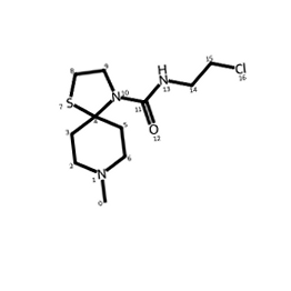 CN1CCC2(CC1)SCCN2C(=O)NCCCl